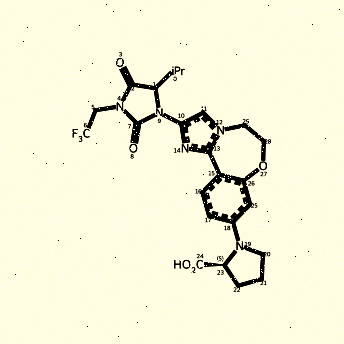 CC(C)C1C(=O)N(CC(F)(F)F)C(=O)N1c1cn2c(n1)-c1ccc(N3CCC[C@H]3C(=O)O)cc1OCC2